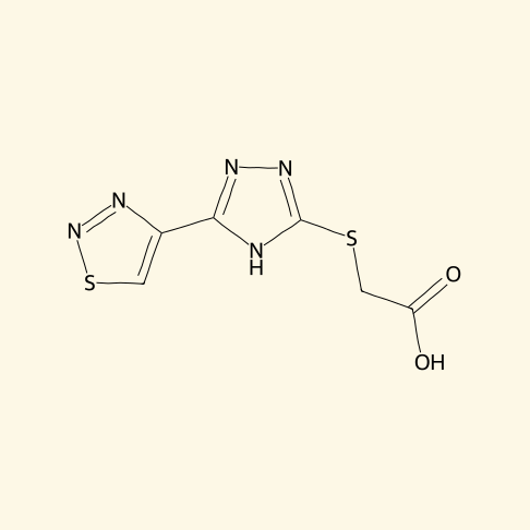 O=C(O)CSc1nnc(-c2csnn2)[nH]1